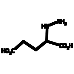 NNC(CCC(=O)O)C(=O)O